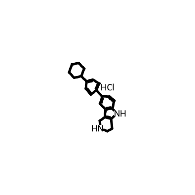 Cl.c1cc(C2CCCCC2)ccc1-c1ccc2[nH]c3c(c2c1)CNCC3